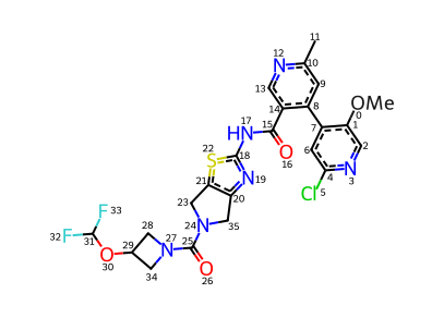 COc1cnc(Cl)cc1-c1cc(C)ncc1C(=O)Nc1nc2c(s1)CN(C(=O)N1CC(OC(F)F)C1)C2